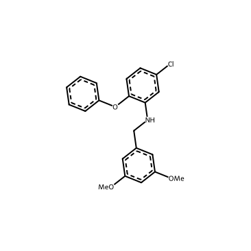 COc1cc(CNc2cc(Cl)ccc2Oc2ccccc2)cc(OC)c1